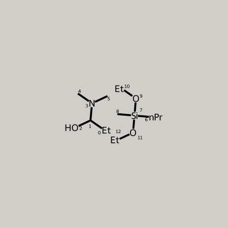 CCC(O)N(C)C.CCC[Si](C)(OCC)OCC